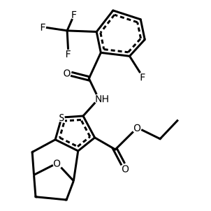 CCOC(=O)c1c(NC(=O)c2c(F)cccc2C(F)(F)F)sc2c1C1CCC(C2)O1